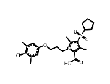 Cc1cc(OCCCn2c(C)c(S(=O)(=O)C3CCCC3)c(C)c2C(=O)O)cc(C)c1Cl